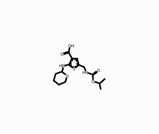 CC(C)OC(=O)NCc1cc(C(=O)O)c(NC2CCCCO2)s1